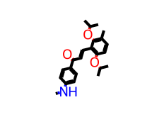 CNc1ccc(C(=O)/C=C/c2c(OC(C)C)ccc(C)c2OC(C)C)cc1